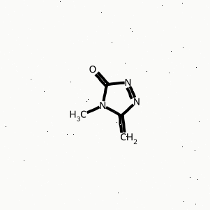 C=C1N=NC(=O)N1C